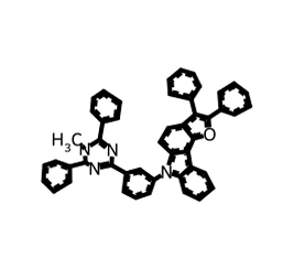 CN1C(c2ccccc2)=NC(c2cccc(-n3c4ccccc4c4c5oc(-c6ccccc6)c(-c6ccccc6)c5ccc43)c2)=NC1c1ccccc1